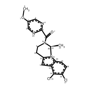 COc1cnc(C(=O)N2CCc3cc4c(Cl)c(Cl)ccc4n3[C@@H]2C)nc1